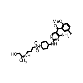 COc1ccc(F)cc1C(=O)c1cnc(NC2CCN(S(=O)(=O)CCCN[C@@H](C)CO)CC2)nc1N